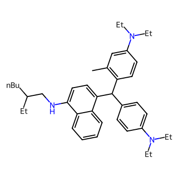 CCCCC(CC)CNc1ccc(C(c2ccc(N(CC)CC)cc2)c2ccc(N(CC)CC)cc2C)c2ccccc12